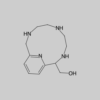 OCC1NCCNCCNCc2cccc1n2